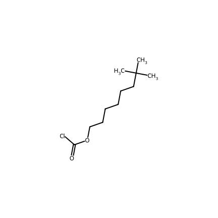 CC(C)(C)CCCCCCOC(=O)Cl